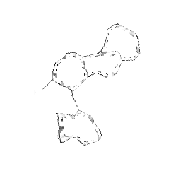 Oc1ccc2c(oc3ccccc32)c1-c1ccccc1